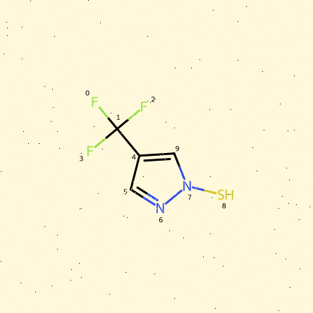 FC(F)(F)c1cnn(S)c1